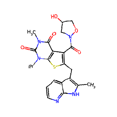 Cc1[nH]c2ncccc2c1Cc1sc2c(c1C(=O)N1CC(O)CO1)c(=O)n(C)c(=O)n2C(C)C